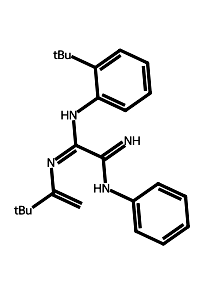 C=C(/N=C(/Nc1ccccc1C(C)(C)C)C(=N)Nc1ccccc1)C(C)(C)C